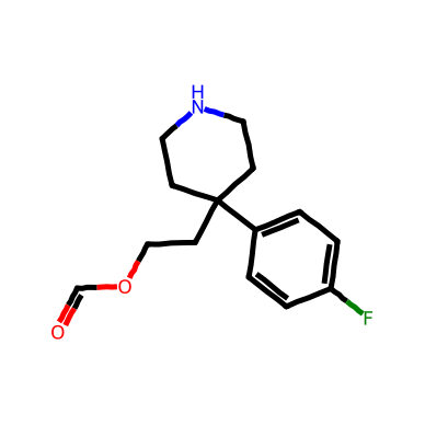 O=COCCC1(c2ccc(F)cc2)CCNCC1